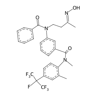 CC(CCN(C(=O)c1ccccc1)c1cccc(C(=O)N(C)c2ccc(C(F)(C(F)(F)F)C(F)(F)F)cc2C)c1)=NO